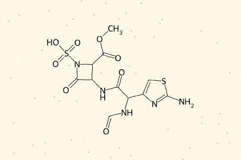 COC(=O)C1C(NC(=O)C(NC=O)c2csc(N)n2)C(=O)N1S(=O)(=O)O